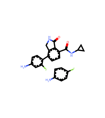 Nc1ccc(-c2ccc(C(=O)NC3CC3)c3c2CNC3=O)c(F)c1.Nc1ccc(F)cc1